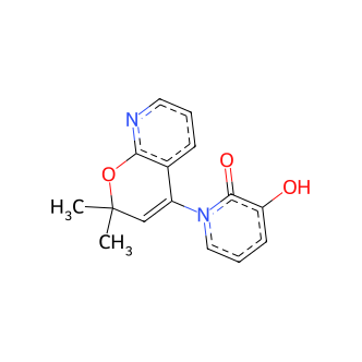 CC1(C)C=C(n2cccc(O)c2=O)c2cccnc2O1